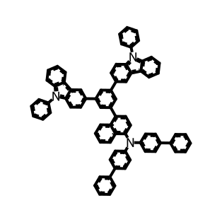 c1ccc(-c2ccc(N(c3ccc(-c4ccccc4)cc3)c3ccc(-c4cc(-c5ccc6c(c5)c5ccccc5n6-c5ccccc5)cc(-c5ccc6c(c5)c5ccccc5n6-c5ccccc5)c4)c4ccccc34)cc2)cc1